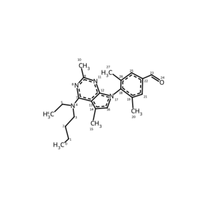 CCCCN(CC)c1nc(C)nc2c1c(C)cn2-c1c(C)cc(C=O)cc1C